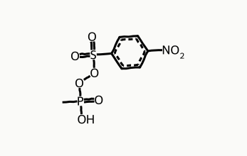 CP(=O)(O)OOS(=O)(=O)c1ccc([N+](=O)[O-])cc1